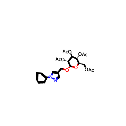 CC(=O)OC[C@H]1O[C@@H](OCc2cnn(-c3ccccc3)c2)[C@H](OC(C)=O)[C@@H](OC(C)=O)[C@@H]1OC(C)=O